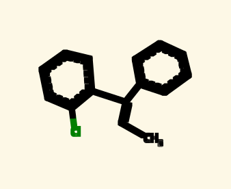 C/C=C(\c1ccccc1)c1ccccc1Cl